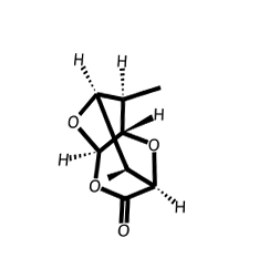 C[C@@H]1[C@@H]2O[C@@H]3OC(=O)[C@H](O[C@H]31)[C@H]2C